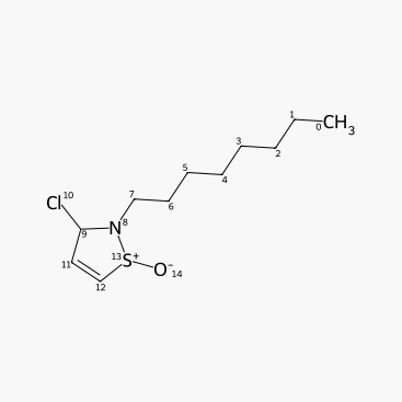 CCCCCCCCN1C(Cl)C=C[S+]1[O-]